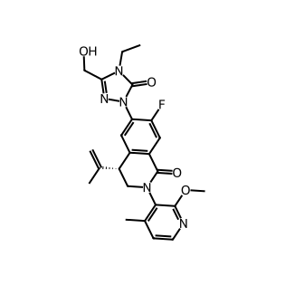 C=C(C)[C@H]1CN(c2c(C)ccnc2OC)C(=O)c2cc(F)c(-n3nc(CO)n(CC)c3=O)cc21